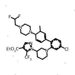 CCOC(=O)c1cnn(C2CCCN(c3cc(Cl)ccc3C3=CC(C)C(N4CCN(CC(F)F)CC4)C=C3)C2)c1C(F)(F)F